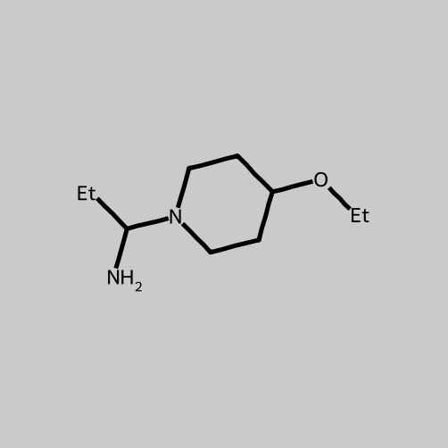 CCOC1CCN(C(N)CC)CC1